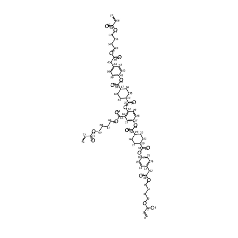 C=CC(=O)OCCCCOC(=O)Cc1ccc(OC(=O)C2CCC(C(=O)Oc3ccc(OC(=O)C4CCC(C(=O)Oc5ccc(CC(=O)OCCCCOC(=O)C=C)cc5)CC4)c(C(=O)OCCCCOC(=O)C=C)c3)CC2)cc1